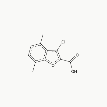 Cc1ccc(C)c2c(Cl)c(C(=O)O)oc12